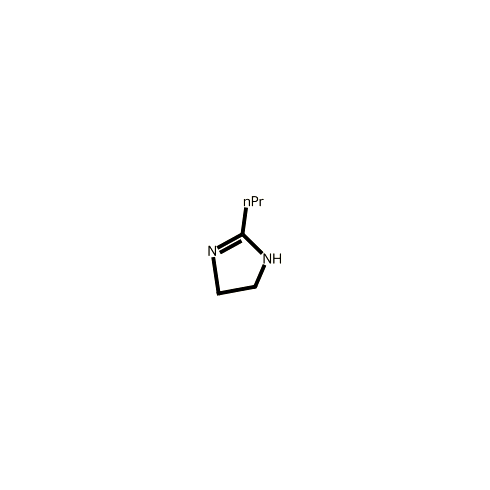 [CH2]CCC1=NCCN1